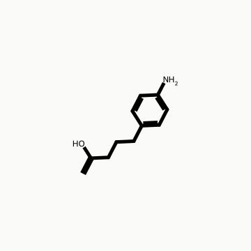 C=C(O)CCCc1ccc(N)cc1